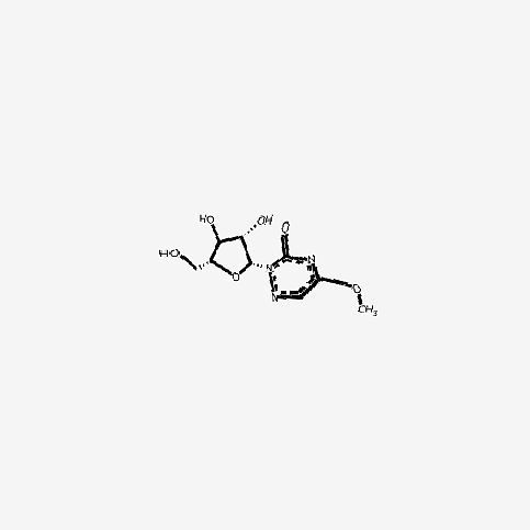 COc1cnn([C@@H]2O[C@H](CO)C(O)[C@@H]2O)c(=O)n1